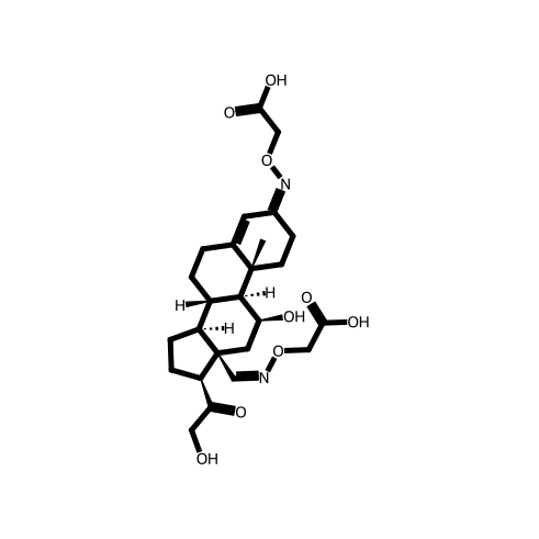 C[C@]12CC/C(=N/OCC(=O)O)C=C1CC[C@@H]1[C@@H]2[C@@H](O)C[C@]2(/C=N\OCC(=O)O)[C@@H](C(=O)CO)CC[C@@H]12